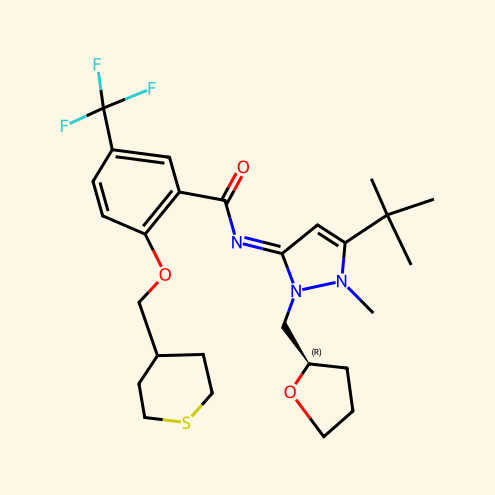 Cn1c(C(C)(C)C)cc(=NC(=O)c2cc(C(F)(F)F)ccc2OCC2CCSCC2)n1C[C@H]1CCCO1